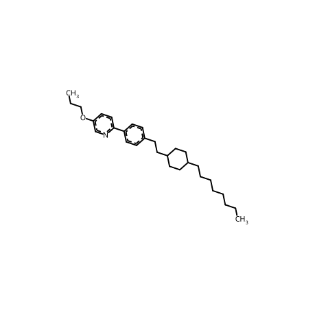 CCCCCCCCC1CCC(CCc2ccc(-c3ccc(OCCC)cn3)cc2)CC1